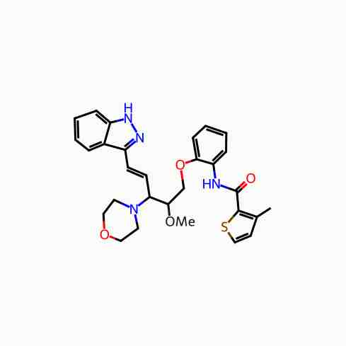 COC(COc1ccccc1NC(=O)c1sccc1C)C(/C=C/c1n[nH]c2ccccc12)N1CCOCC1